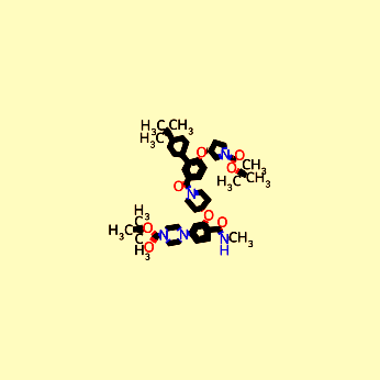 CNC(=O)c1ccc(N2CCN(C(=O)OC(C)(C)C)CC2)cc1OC1CCN(C(=O)c2ccc(O[C@H]3CCN(C(=O)OC(C)(C)C)C3)c(C3CCC(C(C)(C)C)CC3)c2)CC1